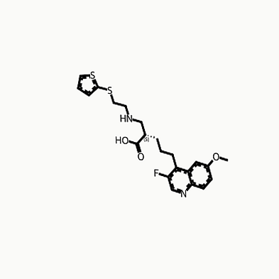 COc1ccc2ncc(F)c(CCC[C@@H](CNCCSc3cccs3)C(=O)O)c2c1